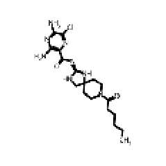 CCCCCC(=O)N1CCC2(CC1)CN/C(=N\C(=O)c1nc(Cl)c(N)nc1N)N2